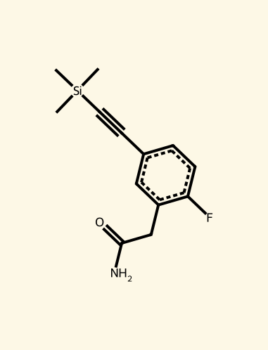 C[Si](C)(C)C#Cc1ccc(F)c(CC(N)=O)c1